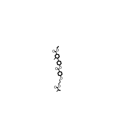 C=COC(=O)c1ccc(-c2ccc(OC(=O)c3ccc(OCCCOC(=O)C(=C)C)cc3)cc2)c(C)c1